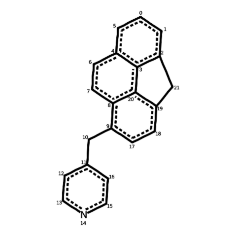 c1cc2c3c(c1)ccc1c(Cc4ccncc4)ccc(c13)C2